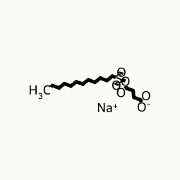 CCCCCCCCCCCCS(=O)(=O)OC(=O)CCC(=O)[O-].[Na+]